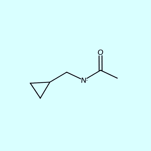 CC(=O)[N]CC1CC1